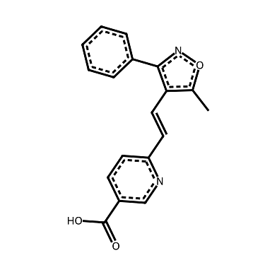 Cc1onc(-c2ccccc2)c1C=Cc1ccc(C(=O)O)cn1